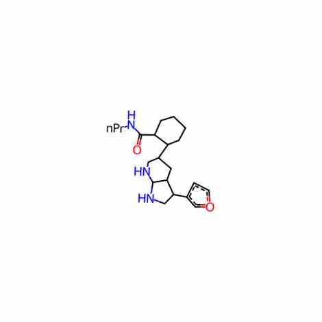 CCCNC(=O)C1CCCCC1C1CNC2NCC(c3ccoc3)C2C1